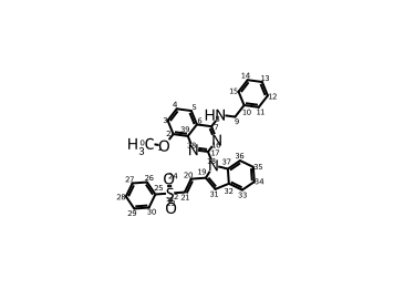 COc1cccc2c(NCc3ccccc3)nc(-n3c(C=CS(=O)(=O)c4ccccc4)cc4ccccc43)nc12